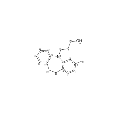 Cc1ccc2c(c1)N(CCCO)c1ccccc1CC2